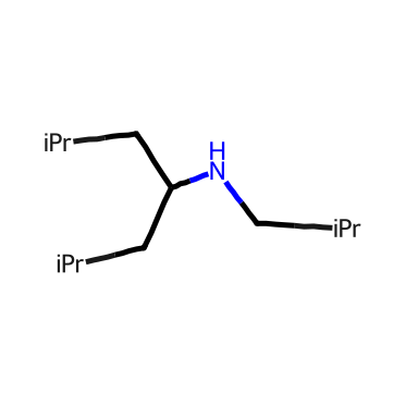 CC(C)CNC(CC(C)C)CC(C)C